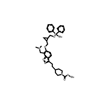 CN(C)Cc1c(OCC2CC2CO[Si](c2ccccc2)(c2ccccc2)C(C)(C)C)ccc2c(CCC3CCN(C(=O)OC(C)(C)C)CC3)noc12